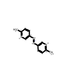 Cc1ccc(/N=N/c2ccc(C)nc2)cn1